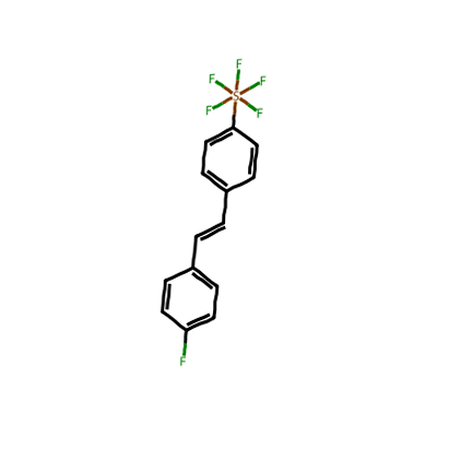 Fc1ccc(C=Cc2ccc(S(F)(F)(F)(F)F)cc2)cc1